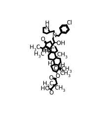 CC(C)C1=C2[C@H]3CC[C@@H]4[C@@]5(C)CC[C@H](OC(=O)CC(C)(C)C(=O)O)C(C)(C)[C@@H]5CC[C@@]4(C)[C@]3(C)CC[C@@]2([C@H](O)CN(Cc2ccc(Cl)cc2)CC2CCCN2)CC1=O